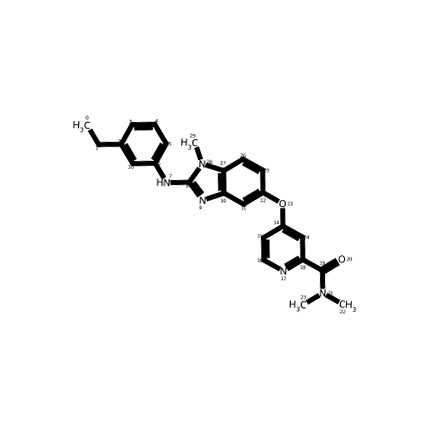 CCc1cccc(Nc2nc3cc(Oc4ccnc(C(=O)N(C)C)c4)ccc3n2C)c1